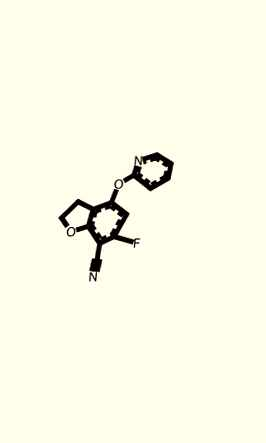 N#Cc1c(F)cc(Oc2ccccn2)c2c1OCC2